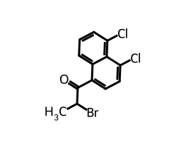 CC(Br)C(=O)c1ccc(Cl)c2c(Cl)cccc12